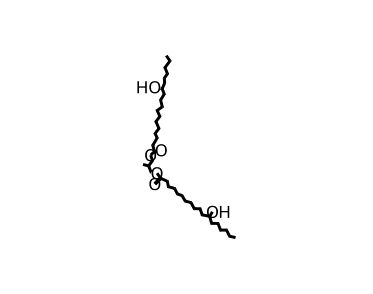 CCCCCCC(O)CCCCCCCCCCC(=O)OCC(C)COC(=O)CCCCCCCCCCC(O)CCCCCC